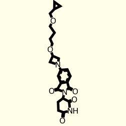 O=C1CCC(N2C(=O)c3ccc(N4CC(OCCCCOCC5CC5)C4)cc3C2=O)C(=O)N1